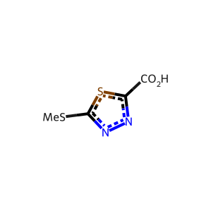 CSc1nnc(C(=O)O)s1